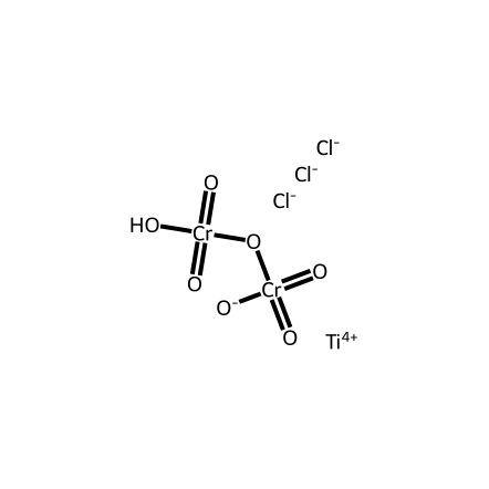 [Cl-].[Cl-].[Cl-].[O]=[Cr](=[O])([O-])[O][Cr](=[O])(=[O])[OH].[Ti+4]